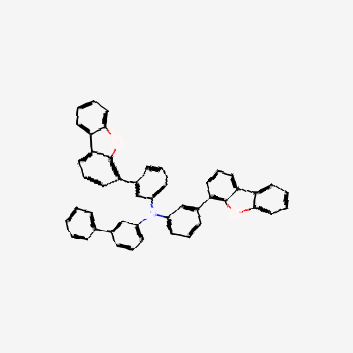 c1ccc(-c2cccc(N(c3cccc(-c4cccc5c4oc4ccccc45)c3)c3cccc(-c4cccc5c4oc4ccccc45)c3)c2)cc1